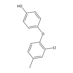 Oc1ccc(Oc2ccc(I)cc2Cl)cc1